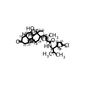 CC(C)[C@@H](NC(=O)C[C@@H](C)[C@H]1CC[C@H]2[C@@H]3[C@H](O)C[C@@H]4CC(=O)CC[C@]4(C)[C@H]3CC[C@]12C)c1ccc(Cl)s1